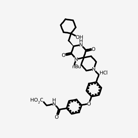 CCCCN1C(=O)[C@@H](CC2(O)CCCCC2)NC(=O)C12CCN(Cc1ccc(Oc3ccc(C(=O)NCC(=O)O)cc3)cc1)CC2.Cl